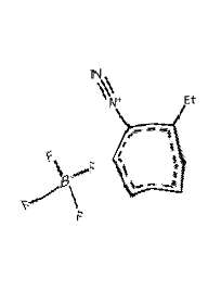 CCc1ccccc1[N+]#N.F[B-](F)(F)F